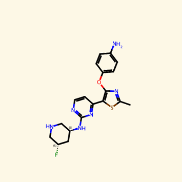 Cc1nc(Oc2ccc(N)cc2)c(-c2ccnc(N[C@@H]3CNC[C@@H](F)C3)n2)s1